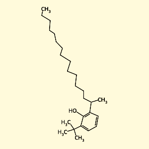 CCCCCCCCCCCCCCC(C)c1cccc(C(C)(C)C)c1O